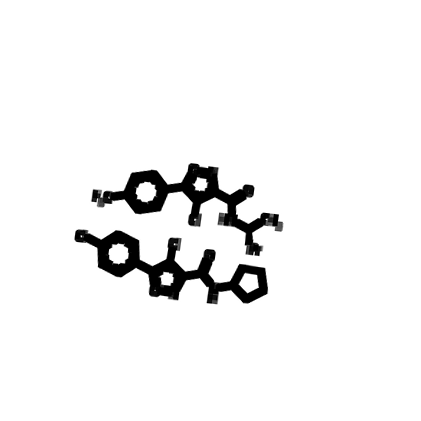 CC(C)[C@H](C)NC(=O)c1noc(-c2ccc(C(F)(F)F)cc2)c1Cl.O=C(NC1CCCC1)c1noc(-c2ccc(Cl)cc2)c1Cl